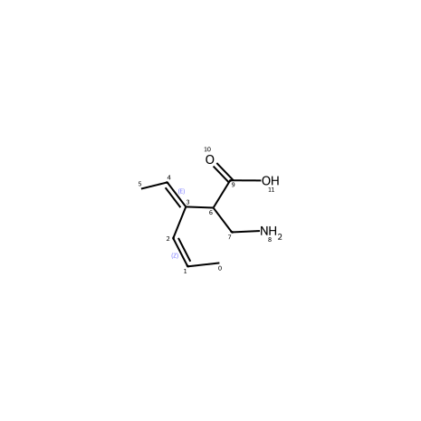 C/C=C\C(=C/C)C(CN)C(=O)O